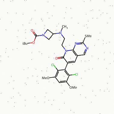 COc1cc(OC)c(Cl)c(-c2cc3cnc(SC)nc3n(CCN(C)C3CN(C(=O)OC(C)(C)C)C3)c2=O)c1Cl